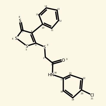 O=C(CSc1ssc(=S)c1-c1ccccc1)Nc1ccc(Cl)cc1